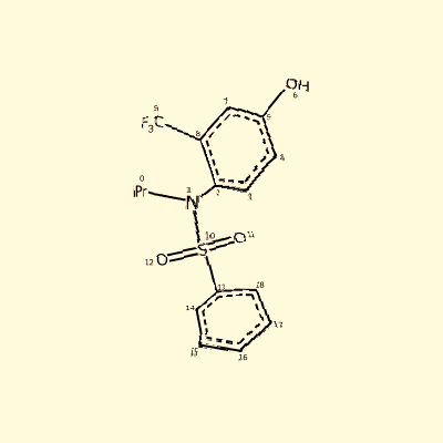 CC(C)N(c1ccc(O)cc1C(F)(F)F)S(=O)(=O)c1ccccc1